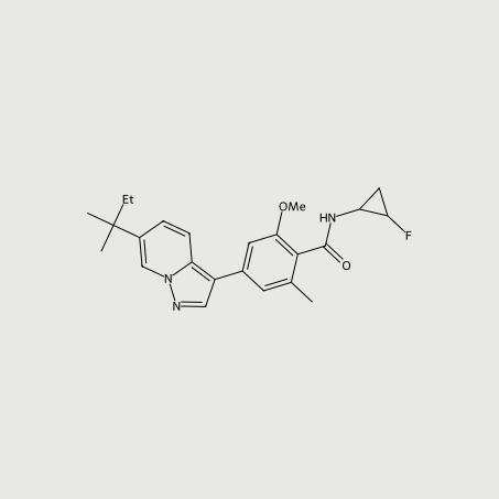 CCC(C)(C)c1ccc2c(-c3cc(C)c(C(=O)NC4CC4F)c(OC)c3)cnn2c1